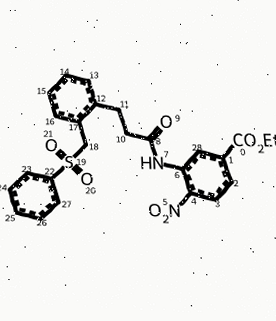 CCOC(=O)c1ccc([N+](=O)[O-])c(NC(=O)CCc2ccccc2CS(=O)(=O)c2ccccc2)c1